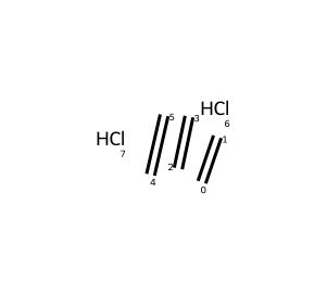 C=C.C=C.C=C.Cl.Cl